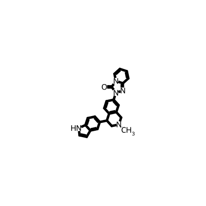 CN1Cc2cc(-n3nc4ccccn4c3=O)ccc2C(c2ccc3[nH]ccc3c2)C1